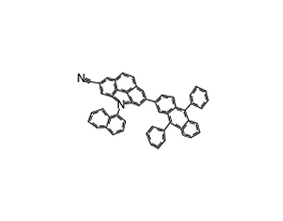 N#Cc1cc2ccc3cc(-c4ccc5c(-c6ccccc6)c6ccccc6c(-c6ccccc6)c5c4)cc4c3c2c(c1)n4-c1cccc2ccccc12